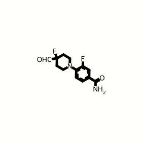 NC(=O)c1ccc(N2CCC(F)(C=O)CC2)c(F)c1